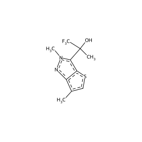 Cc1csc2c(C(C)(O)C(F)(F)F)n(C)nc12